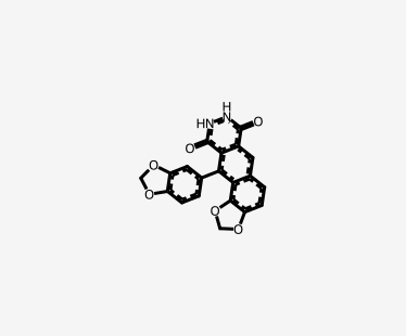 O=c1[nH][nH]c(=O)c2c(-c3ccc4c(c3)OCO4)c3c4c(ccc3cc12)OCO4